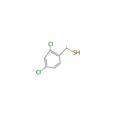 S[CH]c1ccc(Cl)cc1Cl